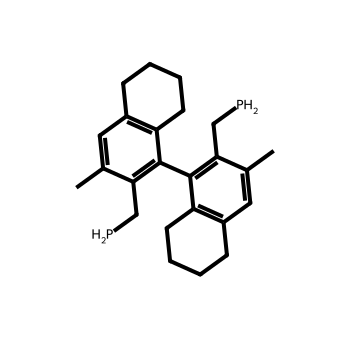 Cc1cc2c(c(-c3c(CP)c(C)cc4c3CCCC4)c1CP)CCCC2